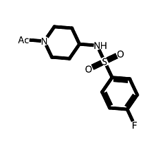 CC(=O)N1CCC(NS(=O)(=O)c2ccc(F)cc2)CC1